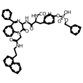 O=C(O)NC(Cc1ccc(OP(=O)(O)OCc2ccccc2)cc1)C(=O)NC1N=C(c2ccccc2)c2ccccc2N(CC(=O)NCCc2cccc3ccccc23)C1=O